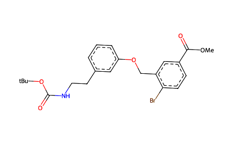 COC(=O)c1ccc(Br)c(COc2cccc(CCNC(=O)OC(C)(C)C)c2)c1